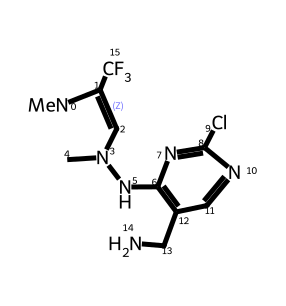 CN/C(=C\N(C)Nc1nc(Cl)ncc1CN)C(F)(F)F